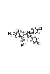 CC(C)(C)c1ccc(C2=N[C@@H](c3ccc(Cl)cc3)[C@@H](c3ccc(Cl)cc3)N2)c(OCCF)c1